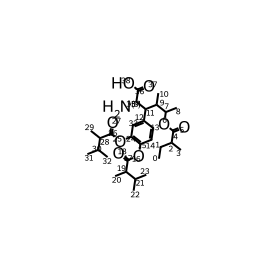 CCC(C)C(=O)OC(C)C(C)C(c1ccc(OC(=O)C(C)C(C)C)c(OC(=O)C(C)C(C)C)c1)[C@H](N)C(=O)O